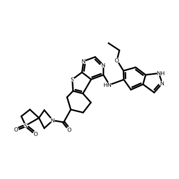 CCOc1cc2[nH]ncc2cc1Nc1ncnc2sc3c(c12)CCC(C(=O)N1CC2(CCS2(=O)=O)C1)C3